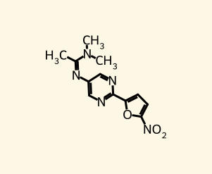 CC(=Nc1cnc(-c2ccc([N+](=O)[O-])o2)nc1)N(C)C